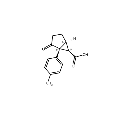 Cc1ccc([C@@]23C(=O)CC[C@H]2[C@H]3C(=O)O)cc1